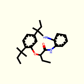 CCC(Oc1cc(C(C)(C)CC)ccc1C(C)(C)CC)C(=O)Nc1ccccc1[NH]